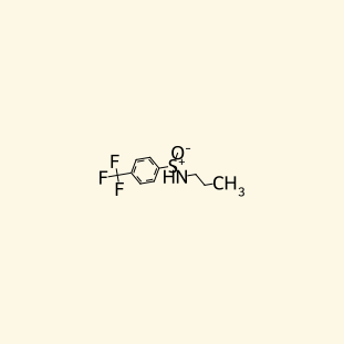 CCCN[S+]([O-])c1ccc(C(F)(F)F)cc1